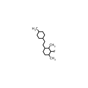 CC1CCC(CCC2CCC(C)C(F)C2C)CC1